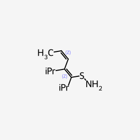 C/C=C\C(=C(/SN)C(C)C)C(C)C